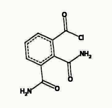 NC(=O)c1cccc(C(=O)Cl)c1C(N)=O